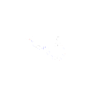 Cn1c(-c2cn(-c3ccc(NCCNC(=O)OC(C)(C)C)cn3)nc2C(F)(F)F)cnc1C(=O)Nc1ccc(C(=O)N2CCN(C(=O)C3CCN(C(=O)OCC4c5ccccc5-c5ccccc54)CC3)CC2)c(Cl)c1